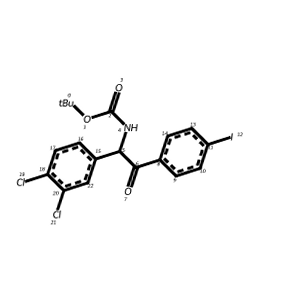 CC(C)(C)OC(=O)NC(C(=O)c1ccc(I)cc1)c1ccc(Cl)c(Cl)c1